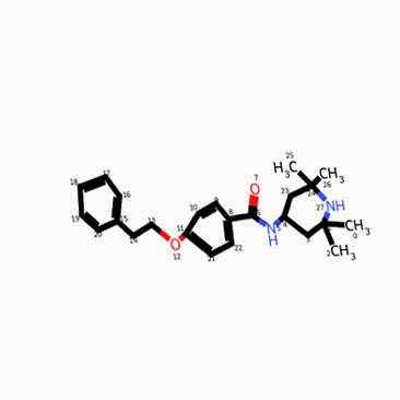 CC1(C)CC(NC(=O)c2ccc(OCCc3ccccc3)cc2)CC(C)(C)N1